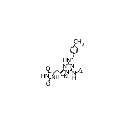 Cc1ccc(CNc2nc(NC3CC3)n3ncc(/C=C4\NC(=O)NC4=O)c3n2)cc1